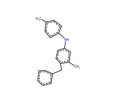 Cc1ccc(Nc2ccc(Cc3ccccc3)c(C)c2)cc1